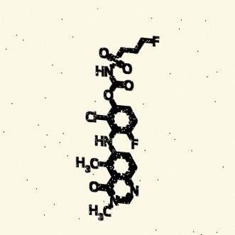 Cc1c(Nc2c(F)ccc(OC(=O)NS(=O)(=O)CCCF)c2Cl)ccc2ncn(C)c(=O)c12